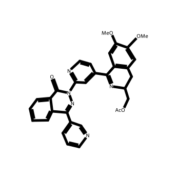 COc1cc2c(cc1OC)C(c1ccnc(-n3nc(-c4cccnc4)c4ccccc4c3=O)c1)=NC(COC(C)=O)C2